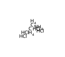 C.C.Cl.Cl.Cl.Cl.N